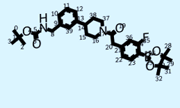 CC(C)(C)OC(=O)NCc1cccc(C2CCN(C(=O)Cc3ccc(B4OC(C)(C)C(C)(C)O4)c(F)c3)CC2)c1